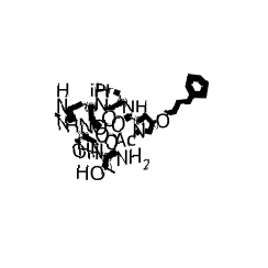 CC(=O)N1C[C@H](OCCCCc2ccccc2)C[C@H]1C(=O)N[C@@H](CC(C)C)C(=O)N[C@@H](Cc1cnc[nH]1)C(=O)N[C@@H](CO)C(=O)N[C@H](C(N)=O)[C@@H](C)O